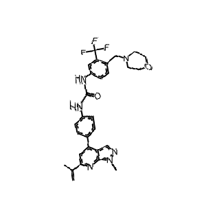 C=C(C)c1cc(-c2ccc(NC(=O)Nc3ccc(CN4CCOCC4)c(C(F)(F)F)c3)cc2)c2cnn(C)c2n1